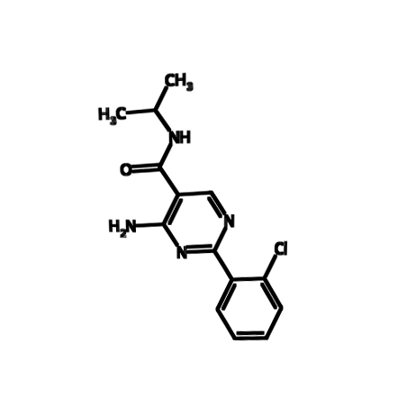 CC(C)NC(=O)c1cnc(-c2ccccc2Cl)nc1N